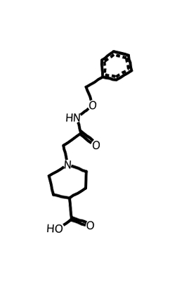 O=C(CN1CCC(C(=O)O)CC1)NOCc1ccccc1